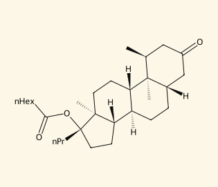 CCCCCCC(=O)O[C@@]1(CCC)CC[C@H]2[C@@H]3CC[C@H]4CC(=O)C[C@H](C)[C@]4(C)[C@H]3CC[C@@]21C